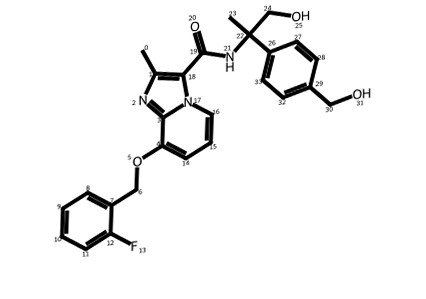 Cc1nc2c(OCc3ccccc3F)cccn2c1C(=O)NC(C)(CO)c1ccc(CO)cc1